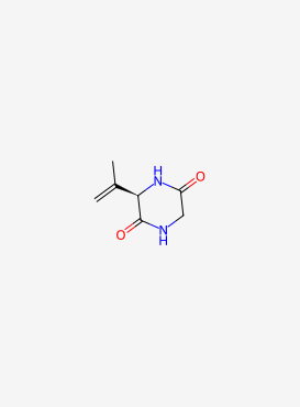 C=C(C)[C@H]1NC(=O)CNC1=O